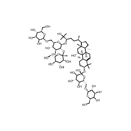 C[C@H](CCC(O[C@@H]1O[C@H](CO[C@@H]2O[C@H](CO)[C@@H](O)[C@H](O)C2O)[C@@H](O)[C@H](O)[C@H]1O[C@@]1(C)O[C@@H](CO)[C@H](O)[C@@H](O)[C@@H]1O)C(C)(C)O)[C@H]1CC[C@@]2(C)[C@@H]3CC=C4[C@@H](CC[C@H](O[C@]5(O)O[C@H](CO[C@@H]6O[C@H](CO)C(O)[C@H](O)[C@H]6O)[C@@H](O)[C@H](O)[C@H]5O)C4(C)C)[C@]3(C)[C@H](O)C[C@]12C